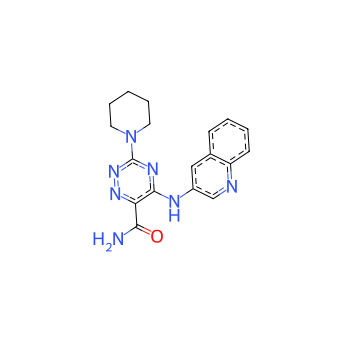 NC(=O)c1nnc(N2CCCCC2)nc1Nc1cnc2ccccc2c1